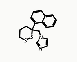 c1ccc2c(C3(Cn4ccnc4)CCCSS3)cccc2c1